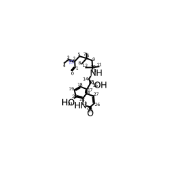 C=C/C(=C\C)CC(C)(C)CC(C)(C)NC[C@H](O)c1ccc(O)c2[nH]c(=O)ccc12